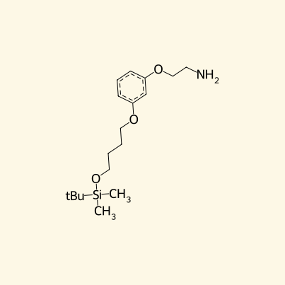 CC(C)(C)[Si](C)(C)OCCCCOc1cccc(OCCN)c1